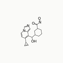 O=NC(=O)C1CCCC(C(O)c2c(C3C=C3)ccn3cncc23)C1